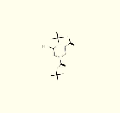 CC(C)(C)OC(=O)N(CCC(=O)O)CC(O)OC(C)(C)C